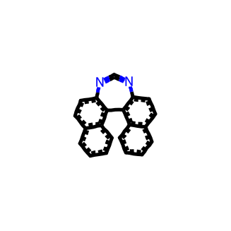 C1=Nc2ccc3ccccc3c2-c2c(ccc3ccccc23)N=1